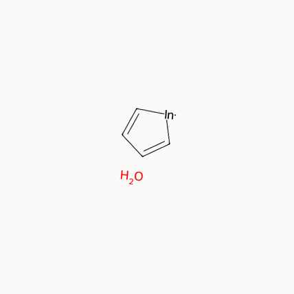 C1=[CH][In][CH]=C1.O